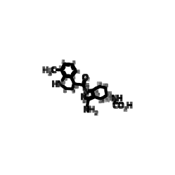 Cc1cccc2c1NCCC2C(=O)n1nc(N)c2c1CC[C@H](NC(=O)O)C2